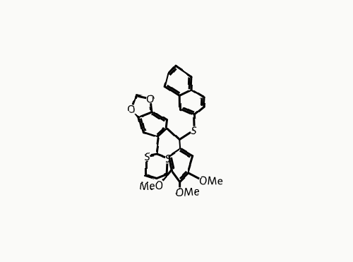 COc1cc(C(Sc2ccc3ccccc3c2)c2cc3c(cc2C2SCCCS2)OCO3)cc(OC)c1OC